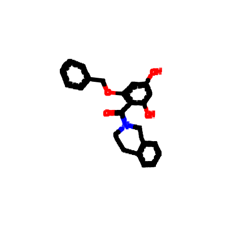 O=C(c1c(O)cc(O)cc1OCc1ccccc1)N1CCc2ccccc2C1